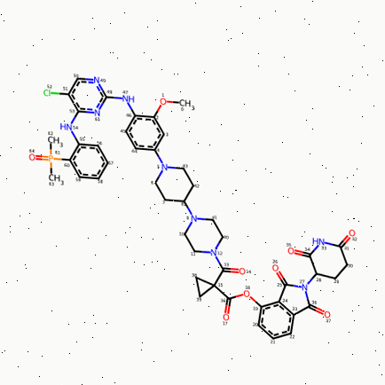 COc1cc(N2CCC(N3CCN(C(=O)C4(C(=O)Oc5cccc6c5C(=O)N(C5CCC(=O)NC5=O)C6=O)CC4)CC3)CC2)ccc1Nc1ncc(Cl)c(Nc2ccccc2P(C)(C)=O)n1